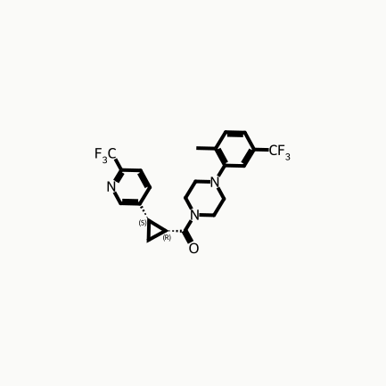 Cc1ccc(C(F)(F)F)cc1N1CCN(C(=O)[C@@H]2C[C@@H]2c2ccc(C(F)(F)F)nc2)CC1